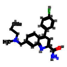 COCCN(C)Cc1ccc2c(-c3ccc(F)cc3)cc(C(N)=O)nc2c1